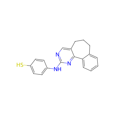 Sc1ccc(Nc2ncc3c(n2)-c2ccccc2CCC3)cc1